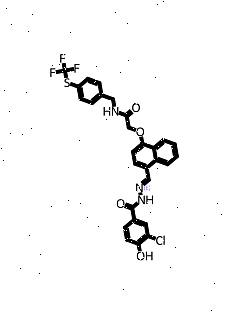 O=C(COc1ccc(/C=N/NC(=O)c2ccc(O)c(Cl)c2)c2ccccc12)NCc1ccc(SC(F)(F)F)cc1